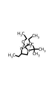 CCO[Si]1(OCC)OC(CC)CN1C(C)(C)C